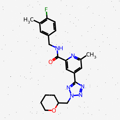 Cc1cc(-c2nnn(CC3CCCCO3)n2)cc(C(=O)NCc2ccc(F)c(C)c2)n1